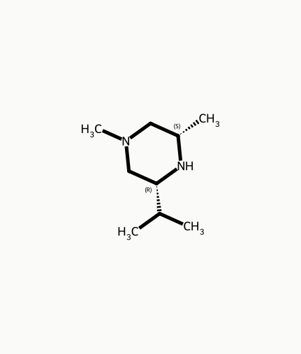 CC(C)[C@@H]1CN(C)C[C@H](C)N1